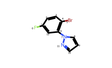 Fc1ccc(Br)c(-n2cccn2)c1